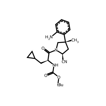 CC(C)(C)OC(=O)N[C@@H](CC1CC1)C(=O)N1C[C@](C)(c2ccccc2N)C[C@H]1C#N